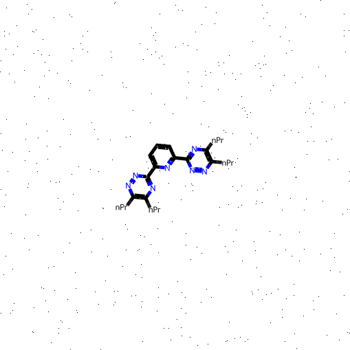 CCCc1nnc(-c2cccc(-c3nnc(CCC)c(CCC)n3)n2)nc1CCC